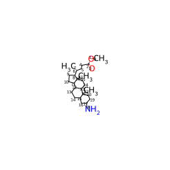 COC(=O)CC[C@@H](C)C1CCC2C3CCC4CC(N)CCC4(C)C3CCC21C